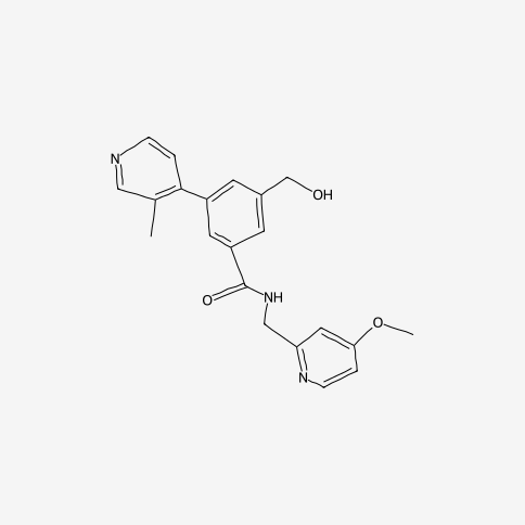 COc1ccnc(CNC(=O)c2cc(CO)cc(-c3ccncc3C)c2)c1